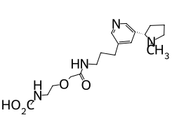 CN1CCC[C@H]1c1cncc(CCCNC(=O)COCCNC(=O)O)c1